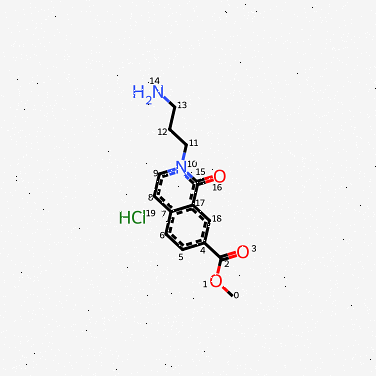 COC(=O)c1ccc2ccn(CCCN)c(=O)c2c1.Cl